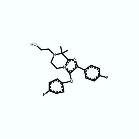 CC1(C)c2nc(-c3ccc(F)cc3)c(Oc3ccc(F)cc3)n2CCN1CCO